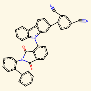 N#Cc1ccc(-c2ccc3c4ccccc4n(-c4cccc5c4C(=O)N(c4ccccc4-c4ccccc4)C5=O)c3c2)c(C#N)c1